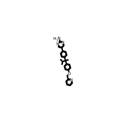 CC(C)C(C)(c1ccc(OCc2ccccn2)cc1)c1ccc(-c2cnc(N)nc2)cc1